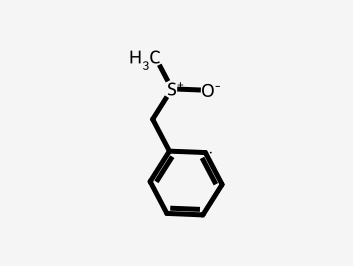 C[S+]([O-])Cc1[c]cccc1